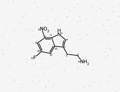 NCCc1c[nH]c2c([N+](=O)[O-])cc(F)cc12